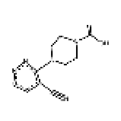 N#Cc1ccnnc1N1CCN(C(=O)O)CC1